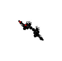 C=Cc1ccc(COc2ccc(C3(c4ccc(F)cc4)c4ccccc4-c4ccc(N(c5ccc(-c6ccc(N(c7ccc(F)c(F)c7)c7ccc8c(c7)C(c7ccc(F)cc7)(c7ccc(OCc9ccc(C=C)cc9)cc7)c7ccccc7-8)cc6)cc5)c5ccc(F)c(F)c5)cc43)cc2)cc1